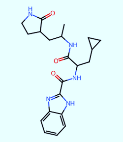 CC(CC1CCNC1=O)NC(=O)C(CC1CC1)NC(=O)c1nc2ccccc2[nH]1